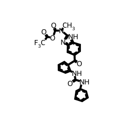 CN(C(=O)OC(=O)C(F)(F)F)c1nc2cc(C(=O)c3ccccc3NC(=O)Nc3ccccc3)ccc2[nH]1